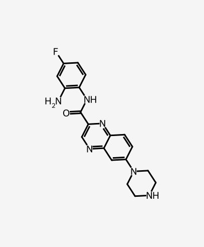 Nc1cc(F)ccc1NC(=O)c1cnc2cc(N3CCNCC3)ccc2n1